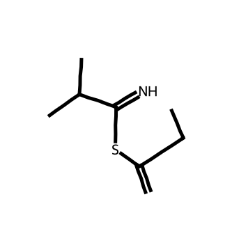 C=C(CC)SC(=N)C(C)C